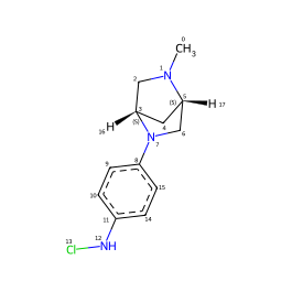 CN1C[C@@H]2C[C@H]1CN2c1ccc(NCl)cc1